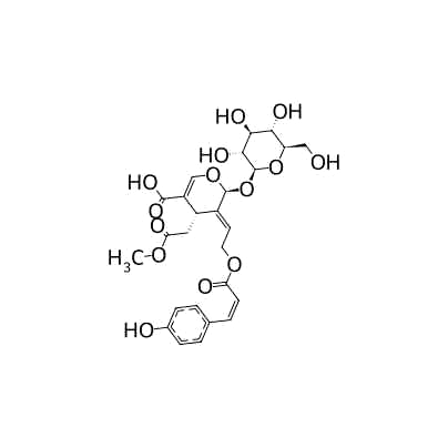 COC(=O)C[C@@H]1C(C(=O)O)=CO[C@@H](O[C@@H]2O[C@H](CO)[C@@H](O)[C@H](O)[C@H]2O)/C1=C/COC(=O)/C=C\c1ccc(O)cc1